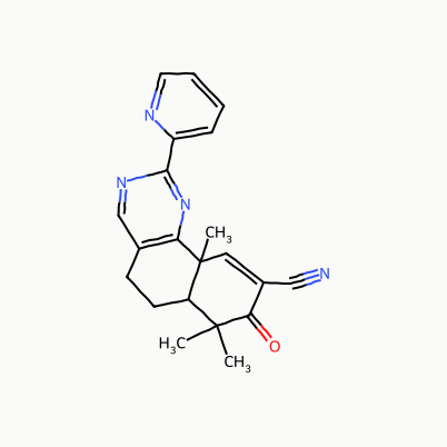 CC1(C)C(=O)C(C#N)=CC2(C)c3nc(-c4ccccn4)ncc3CCC12